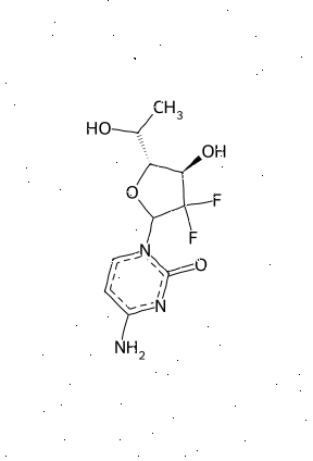 CC(O)[C@H]1OC(n2ccc(N)nc2=O)C(F)(F)[C@@H]1O